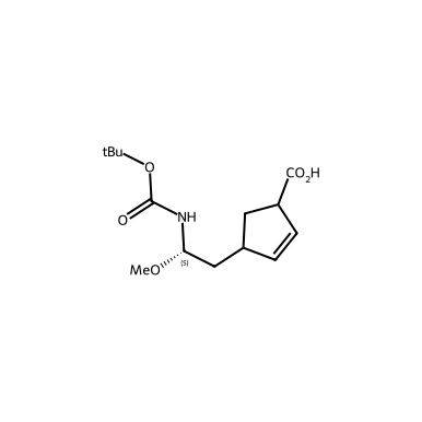 CO[C@@H](CC1C=CC(C(=O)O)C1)NC(=O)OC(C)(C)C